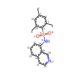 Cc1cc(C)c(S(=O)(=O)Nc2cc[c]c3ccncc23)c(C)c1